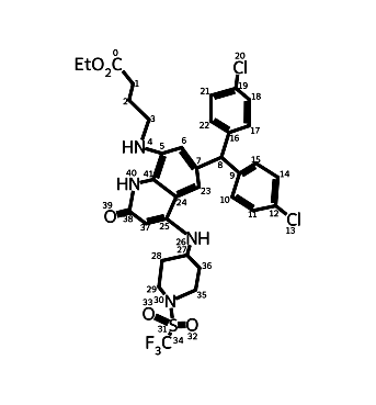 CCOC(=O)CCCNc1cc(C(c2ccc(Cl)cc2)c2ccc(Cl)cc2)cc2c(NC3CCN(S(=O)(=O)C(F)(F)F)CC3)cc(=O)[nH]c12